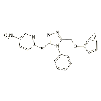 O=[N+]([O-])c1ccc(Sc2nnc(COc3ccc4cc3-4)n2-c2ccccc2)nc1